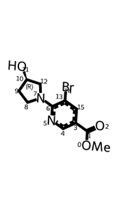 COC(=O)c1cnc(N2CC[C@@H](O)C2)c(Br)c1